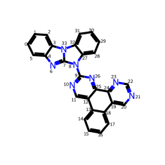 c1ccc2c(c1)nc1n(-c3ncc4c5ccccc5c5cncnc5c4n3)c3ccccc3n21